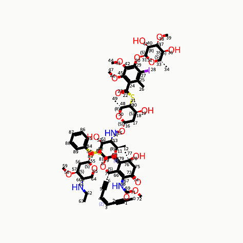 CC#C/C=C\C#C[C@H](O[C@@H]1O[C@H](C)[C@@H](NO[C@H]2C[C@H](O)[C@H](SC(=O)c3c(C)c(I)c(O[C@@H]4O[C@@H](C)[C@H](O)[C@@H](OC)[C@H]4O)c(OC)c3OC)[C@@H](C)O2)[C@H](O)[C@H]1O[C@H]1C[C@H](OC)[C@@H](NCC)CO1)C1=C(NC(=O)OC)C(=O)C[C@](C)(O)/C1=C/CSSc1ccccc1